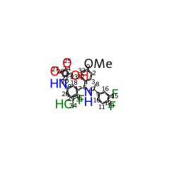 COc1ccc(C(NC(C)c2ccc(F)c(F)c2)c2cc(Nc3c(O)c(=O)c3=O)ccc2F)cc1.Cl